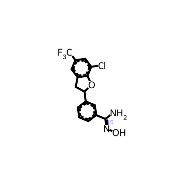 N/C(=N\O)c1cccc(C2Cc3cc(C(F)(F)F)cc(Cl)c3O2)c1